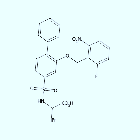 CC(C)C(NS(=O)(=O)c1ccc(-c2ccccc2)c(OCc2c(F)cccc2[N+](=O)[O-])c1)C(=O)O